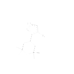 CC1(C)CC(c2n[nH]cc2N)CC(C)(C)O1